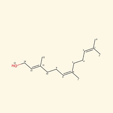 CC(C)=CCC/C(C)=C\CC/C(C)=C/CO